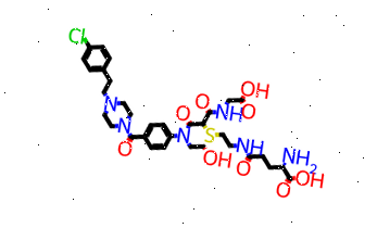 N[C@H](CCC(=O)NCCSC(C(=O)NCC(=O)O)C(=O)N(CCO)c1ccc(C(=O)N2CCN(CCc3ccc(Cl)cc3)CC2)cc1)C(=O)O